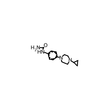 NC(=O)Nc1ccc(N2CCN(C3CC3)CC2)cc1